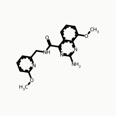 COc1cccc(CNC(=O)c2nc(N)nc3c(OC)cccc23)n1